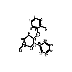 Cc1ccccc1O[C@@H]1CCN(C)C[C@@H]1c1ccccc1